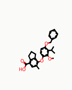 COc1c(Oc2c(C)cc(C(=O)O)c3c2CCC3)ccc(OCc2ccccc2)c1C(C)C